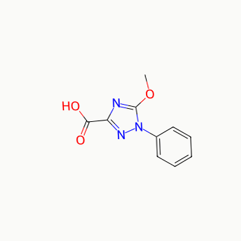 COc1nc(C(=O)O)nn1-c1ccccc1